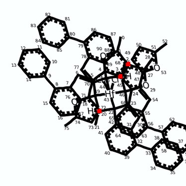 Cc1ccc(C2=Cc3c(-c4ccccc4)cccc3[C]23[SiH](C)[C]2(C(c4ccc(C)o4)=Cc4c(-c5ccccc5)cccc42)[Hf]32([Cl])([Cl])[C]3(C(c4ccc(C)o4)=Cc4c(-c5ccccc5)cccc43)[SiH](C)[C]23C(c2ccc(C)o2)=Cc2c(-c4ccccc4)cccc23)o1